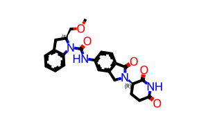 COC[C@@H]1Cc2ccccc2N1C(=O)Nc1ccc2c(c1)CN([C@@H]1CCC(=O)NC1=O)C2=O